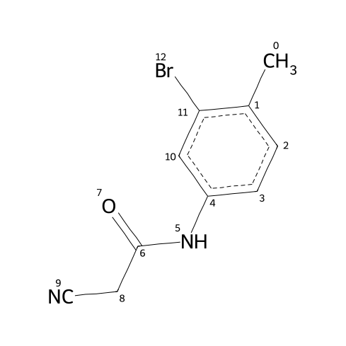 Cc1ccc(NC(=O)CC#N)cc1Br